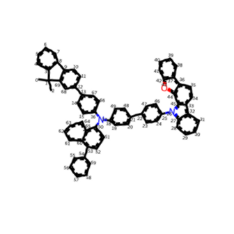 CC1(C)c2ccccc2-c2ccc(-c3ccc(N(c4ccc(-c5ccc(-n6c7ccccc7c7ccc8c9ccccc9oc8c76)cc5)cc4)c4ccc(-c5ccccc5)c5ccccc45)cc3)cc21